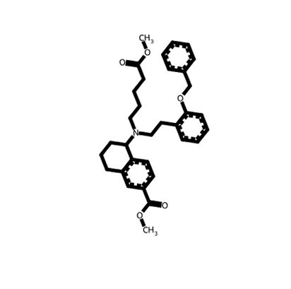 COC(=O)CCCCN(CCc1ccccc1OCc1ccccc1)C1CCCc2cc(C(=O)OC)ccc21